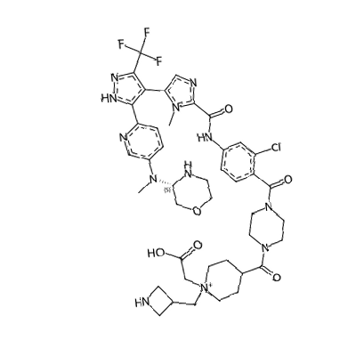 CN(c1ccc(-c2[nH]nc(C(F)(F)F)c2-c2cnc(C(=O)Nc3ccc(C(=O)N4CCN(C(=O)C5CC[N+](CC(=O)O)(CC6CNC6)CC5)CC4)c(Cl)c3)n2C)nc1)[C@H]1COCCN1